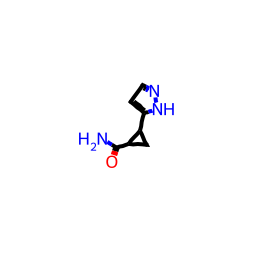 NC(=O)C1CC1c1ccn[nH]1